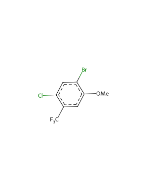 COc1cc(C(F)(F)F)c(Cl)cc1Br